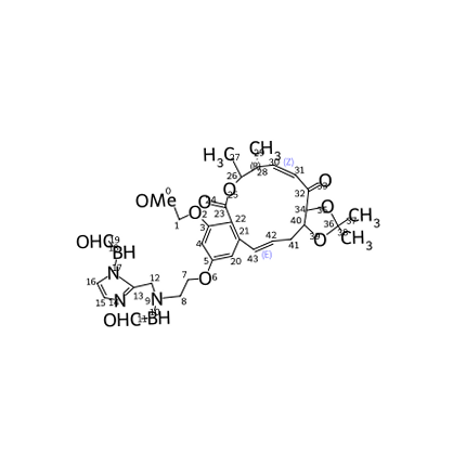 COCOc1cc(OCCN(BC=O)Cc2nccn2BC=O)cc2c1C(=O)OC(C)[C@H](C)/C=C\C(=O)C1OC(C)(C)OC1C/C=C/2